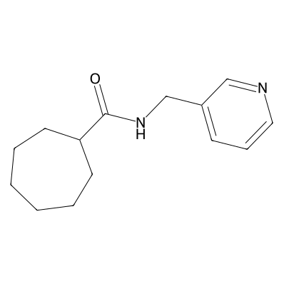 O=C(NCc1cccnc1)C1CCCCCC1